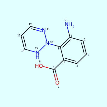 Nc1cccc(C(=O)O)c1N1N=CC=CN1